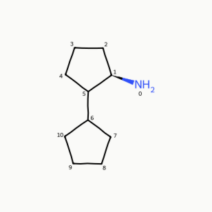 N[C@@H]1CCCC1C1CCCC1